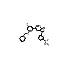 N[S+]([O-])c1cccc(-c2c[nH]c3ncc(-c4cc(F)cc(OCc5ccccc5)c4)cc23)c1